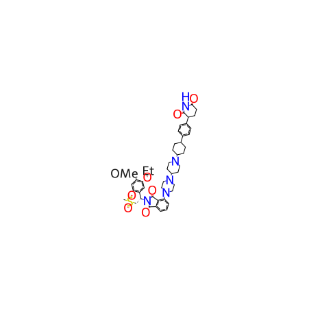 CCOc1cc([C@@H](CS(C)(=O)=O)N2C(=O)c3cccc(N4CCN(C5CCN(C6CCC(c7ccc(C8CCC(=O)NC8=O)cc7)CC6)CC5)CC4)c3C2=O)ccc1OC